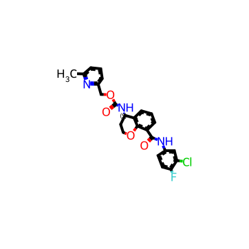 Cc1cccc(COC(=O)N[C@H]2CCOc3c(C(=O)Nc4ccc(F)c(Cl)c4)cccc32)n1